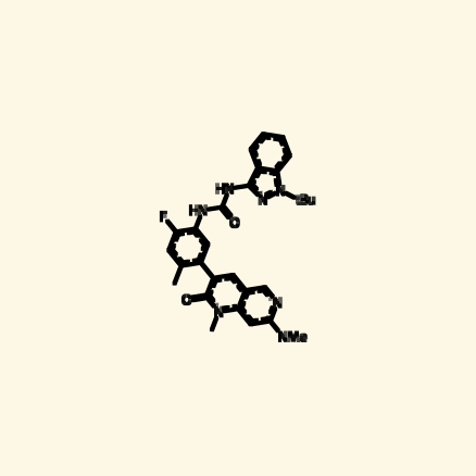 CNc1cc2c(cn1)cc(-c1cc(NC(=O)Nc3nn(C(C)(C)C)c4ccccc34)c(F)cc1C)c(=O)n2C